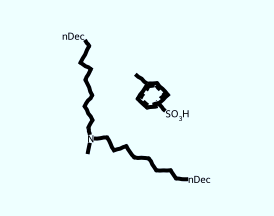 CCCCCCCCCCCCCCCCCCN(C)CCCCCCCCCCCCCCCCCC.Cc1ccc(S(=O)(=O)O)cc1